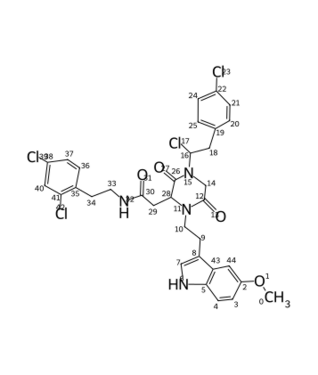 COc1ccc2[nH]cc(CCN3C(=O)CN(C(Cl)Cc4ccc(Cl)cc4)C(=O)C3CC(=O)NCCc3ccc(Cl)cc3Cl)c2c1